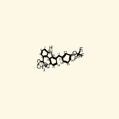 COC(=O)c1cccc2[nH]c3c(Cc4cccc(OC(F)(F)F)c4)ccc(O)c3c12